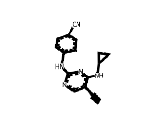 C#Cc1cnc(Nc2ccc(C#N)cc2)nc1NC1CC1